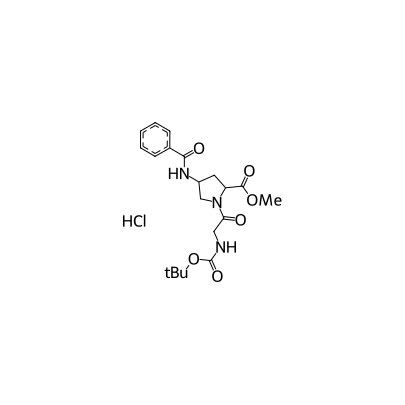 COC(=O)C1CC(NC(=O)c2ccccc2)CN1C(=O)CNC(=O)OC(C)(C)C.Cl